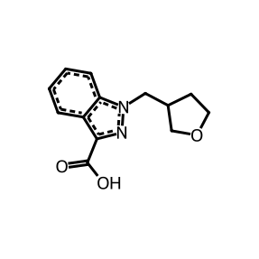 O=C(O)c1nn(CC2CCOC2)c2ccccc12